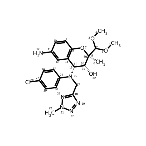 COC(OC)[C@]1(C)Oc2ccc(N)cc2[C@@H](N(Cc2nnn(C)n2)c2ccc(Cl)cc2)[C@H]1O